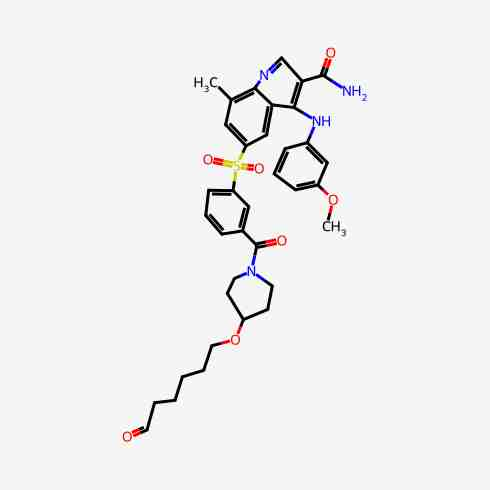 COc1cccc(Nc2c(C(N)=O)cnc3c(C)cc(S(=O)(=O)c4cccc(C(=O)N5CCC(OCCCCCC=O)CC5)c4)cc23)c1